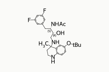 CC(=O)N[C@@H](Cc1cc(F)cc(F)c1)[C@H](O)CNC1(C)CCNc2ccc(OC(C)(C)C)cc21